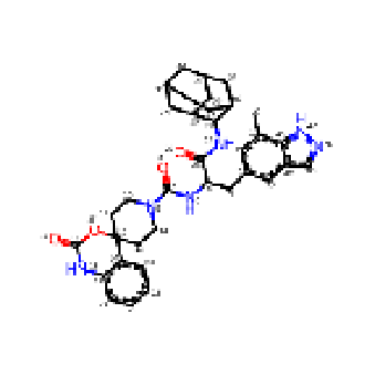 Cc1cc(CC(NC(=O)N2CCC3(CC2)OC(=O)Nc2ccccc23)C(=O)NC2C3CC4CC(C3)CC2C4)cc2cn[nH]c12